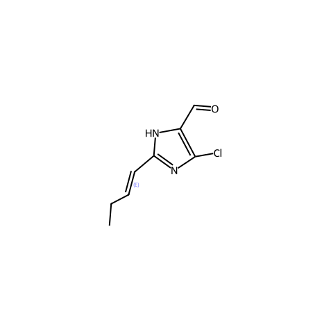 CC/C=C/c1nc(Cl)c(C=O)[nH]1